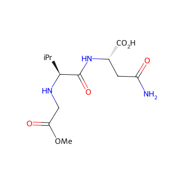 COC(=O)CN[C@H](C(=O)N[C@@H](CC(N)=O)C(=O)O)C(C)C